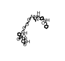 Cc1cc(N(C)CCOCCOCCOCCNc2cccc3c2C(=O)N(C2CCC(=O)NC2=O)C3=O)nc(Nc2ccc(NC(=O)Cc3ccccc3)cc2)n1